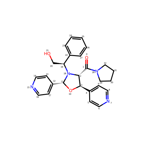 O=C([C@@H]1[C@@H](c2ccncc2)O[C@H](c2ccncc2)N1[C@@H](CO)c1ccccc1)N1CCCC1